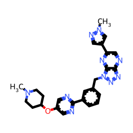 CN1CCC(Oc2cnc(-c3cccc(Cn4nnc5ncc(-c6cnn(C)c6)nc54)c3)nc2)CC1